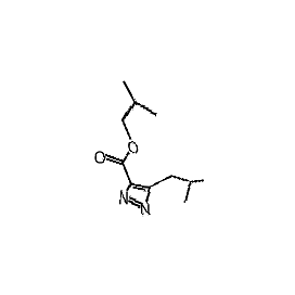 CC(C)COC(=O)C1=C(CC(C)C)N=N1